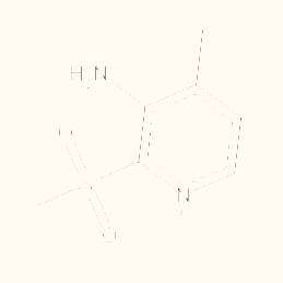 Cc1ccnc(S(C)(=O)=O)c1N